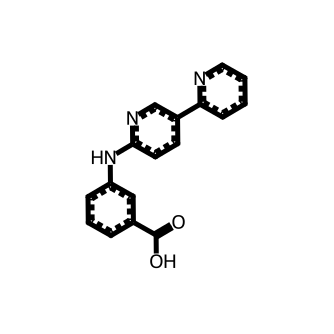 O=C(O)c1cccc(Nc2ccc(-c3ccccn3)cn2)c1